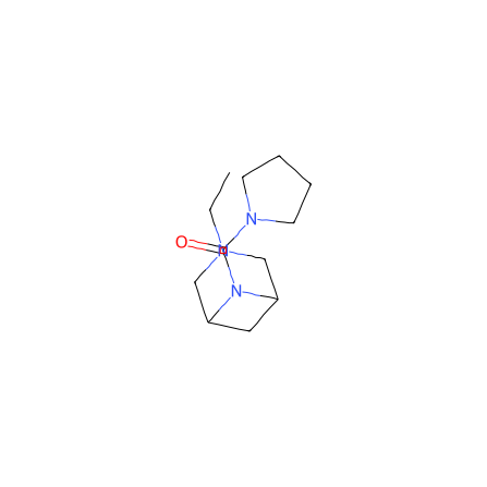 CCN1CC2CC(C1)N2C(=O)N1CCCC1